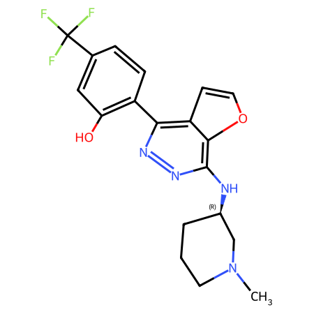 CN1CCC[C@@H](Nc2nnc(-c3ccc(C(F)(F)F)cc3O)c3ccoc23)C1